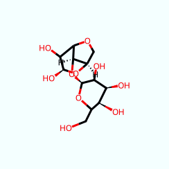 OCC1O[C@@H](O[C@H]2C3OC[C@H]2O[C@@H](O)C3O)C(O)[C@@H](O)[C@H]1O